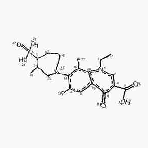 CCn1cc(C(=O)O)c(=O)c2cc(F)c(N3CCN(P(=O)(O)O)C(C)C3)c(F)c21